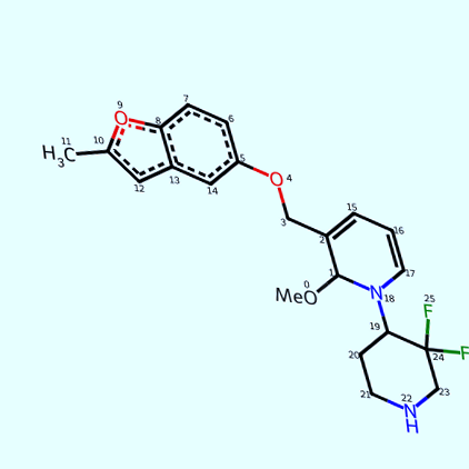 COC1C(COc2ccc3oc(C)cc3c2)=CC=CN1C1CCNCC1(F)F